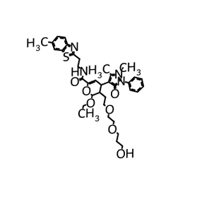 CCOC1OC(C(=O)NCCc2nc3ccc(C)cc3s2)=CC(c2c(C)n(C)n(-c3ccccc3)c2=O)C1CCOCCOCCCO